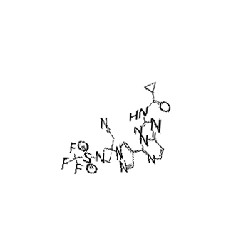 N#CCC1(n2cc(-c3nccc4nc(NC(=O)C5CC5)nn34)cn2)CN(S(=O)(=O)C(F)(F)F)C1